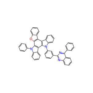 c1ccc(-c2nc(-c3cccc(-n4c5ccccc5c5c6c7ccccc7oc6c6c(c7ccccc7n6-c6ccccc6)c54)c3)nc3ccccc23)cc1